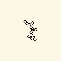 c1ccc(N(c2ccc(-c3cccc4sc5c6ccccc6cnc5c34)cc2)c2ccc3c(c2)c2ccccc2n3-c2ccc3ccccc3c2)cc1